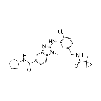 Cn1c(Nc2cc(CNC(=O)C3(C)CC3)ccc2Cl)nc2cc(C(=O)NC3CCCC3)ccc21